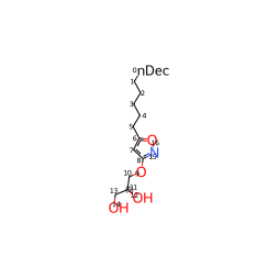 CCCCCCCCCCCCCCCc1cc(OC[C@@H](O)CO)no1